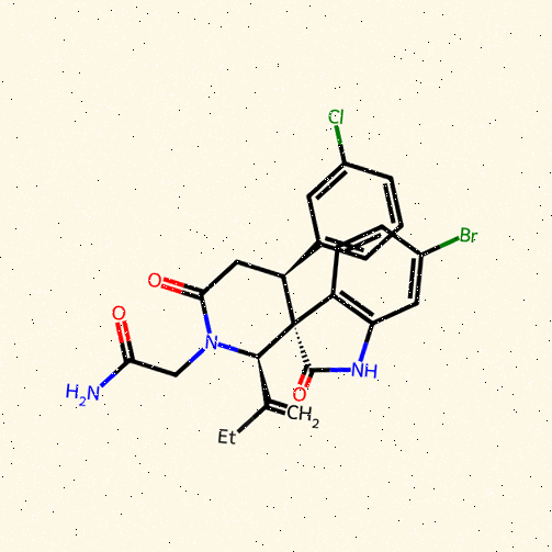 C=C(CC)[C@H]1N(CC(N)=O)C(=O)C[C@@H](c2cccc(Cl)c2)[C@]12C(=O)Nc1cc(Br)ccc12